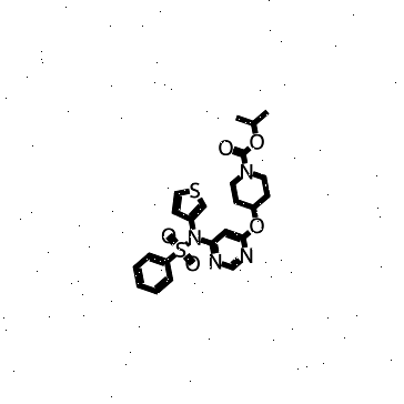 CC(C)OC(=O)N1CCC(Oc2cc(N(c3ccsc3)S(=O)(=O)c3ccccc3)ncn2)CC1